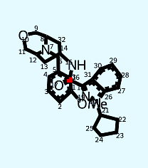 COc1cccc(CN2C3COCC2CC(NC(=O)c2nn(C4CCCC4)c4ccccc24)C3)c1